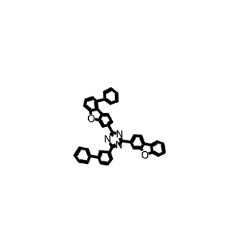 c1ccc(-c2cccc(-c3nc(-c4ccc5c(c4)oc4ccccc45)nc(-c4ccc5c(c4)oc4cccc(-c6ccccc6)c45)n3)c2)cc1